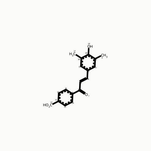 Cc1cc(C=CC(=O)c2ccc(C(=O)O)cc2)cc(C)c1O